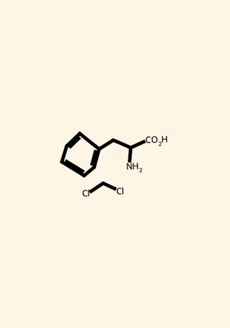 ClCCl.NC(Cc1ccccc1)C(=O)O